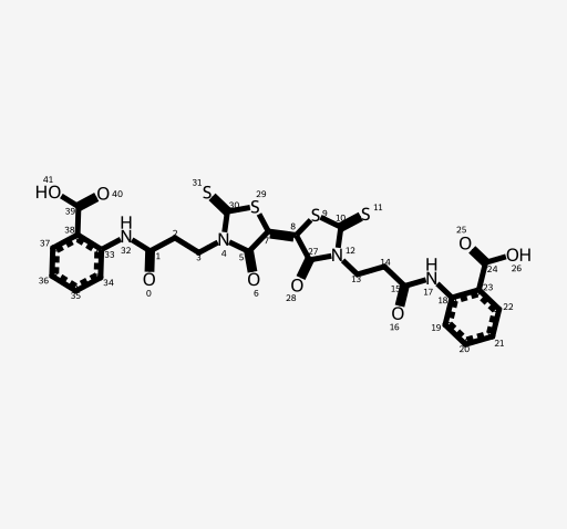 O=C(CCN1C(=O)/C(=C2/SC(=S)N(CCC(=O)Nc3ccccc3C(=O)O)C2=O)SC1=S)Nc1ccccc1C(=O)O